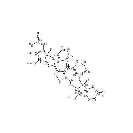 CCN1/C(=C/C=C2\CCC(CCC3=[N+](CC)c4ccc(Cl)cc4C3(C)C)=C2N(c2ccccc2)c2ccccc2)C(C)(C)c2cc(Cl)ccc21